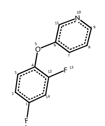 Fc1ccc(Oc2cc[c]nc2)c(F)c1